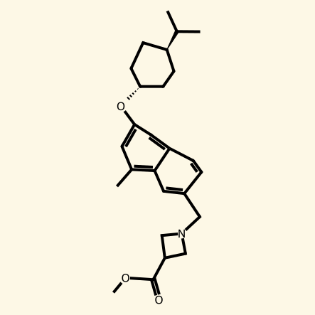 COC(=O)C1CN(Cc2ccc3cc(O[C@H]4CC[C@H](C(C)C)CC4)cc(C)c3c2)C1